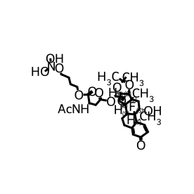 CC(=O)NC(CC(=O)OCC(=O)[C@@]12OC(C)(C)O[C@@H]1C[C@H]1[C@@H]3CCC4=CC(=O)C=C[C@]4(C)C3(F)[C@@H](O)C[C@@]12C)C(=O)OCCCCON(O)O